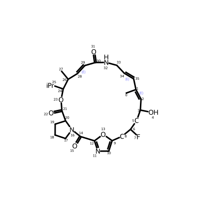 CC1=C\C(O)CC(F)Cc2cnc(o2)C(=O)N2CCCC2C(=O)OC(C(C)C)C(C)/C=C/C(=O)NC\C=C\1